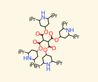 CC(C)C1CC(OC(=O)C(C(=O)OC2CC(C(C)C)NC(C(C)C)C2)C(C(=O)OC2CC(C(C)C)NC(C(C)C)C2)C(=O)OC2CC(C(C)C)NC(C(C)C)C2)CC(C(C)C)N1